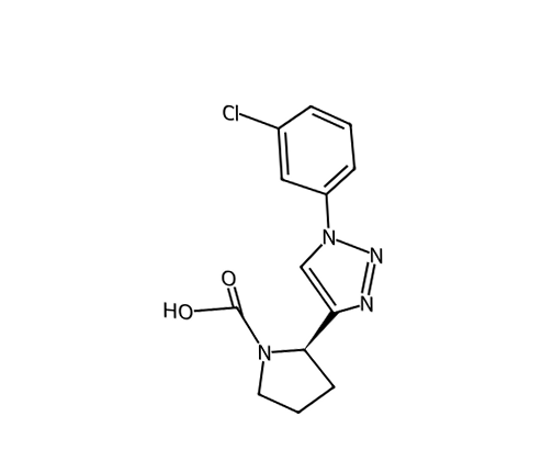 O=C(O)N1CCC[C@@H]1c1cn(-c2cccc(Cl)c2)nn1